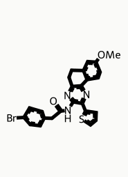 COc1ccc2c(c1)CCc1nc(NC(=O)Cc3ccc(Br)cc3)c(-c3cccs3)nc1-2